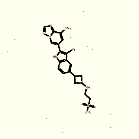 COc1cc(-c2[nH]c3ccc(C4CC(NCCS(C)(=O)=O)C4)cc3c2C(C)C)cn2ncnc12